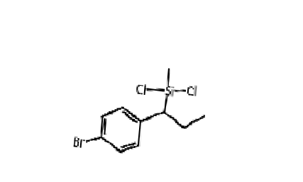 CCC(c1ccc(Br)cc1)[Si](C)(Cl)Cl